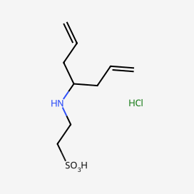 C=CCC(CC=C)NCCS(=O)(=O)O.Cl